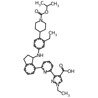 CCc1cc(NC2CCc3cccc(-c4cccc(-c5nn(CC)cc5C(=O)O)n4)c32)ccc1C1CCN(C(=O)OC(C)C)CC1